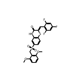 COc1cccc(OC)c1CS(=O)(=O)c1ccc2c(c1)NC(=O)C(=Cc1c(F)cc(F)cc1F)S2